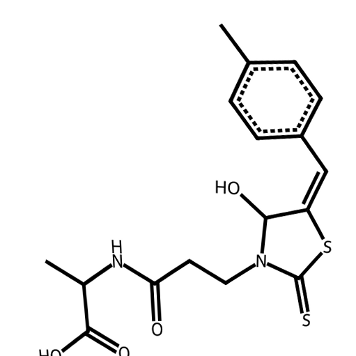 Cc1ccc(/C=C2/SC(=S)N(CCC(=O)NC(C)C(=O)O)C2O)cc1